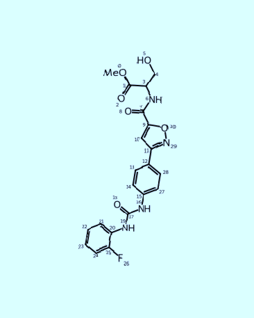 COC(=O)C(CO)NC(=O)c1cc(-c2ccc(NC(=O)Nc3ccccc3F)cc2)no1